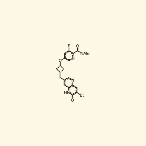 CCc1cc2ncc(CN3CC(Oc4cnc(C(=O)NC)c(F)c4)C3)cc2[nH]c1=O